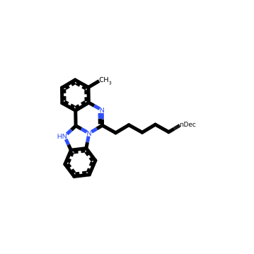 CCCCCCCCCCCCCCCC1=Nc2c(C)cccc2C2Nc3ccccc3N12